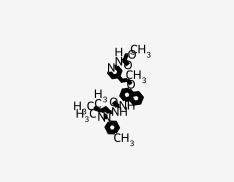 COCC(=O)Nc1cc(CC(C)Oc2ccc(NC(=O)Nc3cc(C(C)(C)C)nn3-c3ccc(C)cc3)c3ccccc23)ccn1